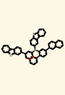 c1ccc(-c2ccc(-c3ccc4ccccc4c3)cc2N(c2cccc(-c3ccc4c(c3)oc3ccccc34)c2)c2ccc3sc4ccccc4c3c2)cc1